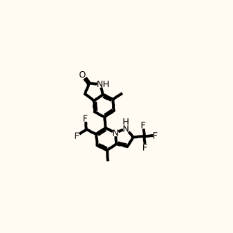 CC1=CC(C(F)F)=C(c2cc(C)c3c(c2)CC(=O)N3)N2NC(C(F)(F)F)C=C12